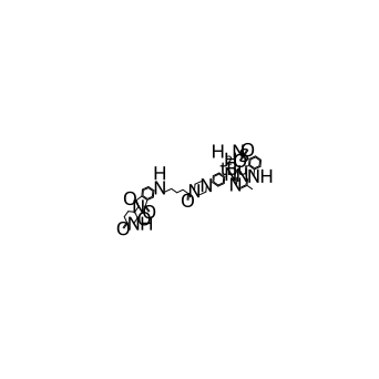 Cc1cnc(Nc2ccc(N3CCN(C(=O)CCCCNc4ccc5c(c4)C(=O)N(C4CCC(=O)NC4=O)C5=O)CC3)cc2)nc1Nc1cccc(S(N)(=O)=O)c1C(C)(C)C